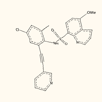 COc1ccc(S(=O)(=O)Nc2c(C)cc(Cl)cc2C#Cc2cccnc2)c2ncccc12